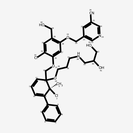 C[C@]1(Cl)C(c2ccccc2)=CC=CC1(COc1cc(OCc2cncc(C#N)c2)c(CO)cc1Cl)OCCCNCC(O)CO